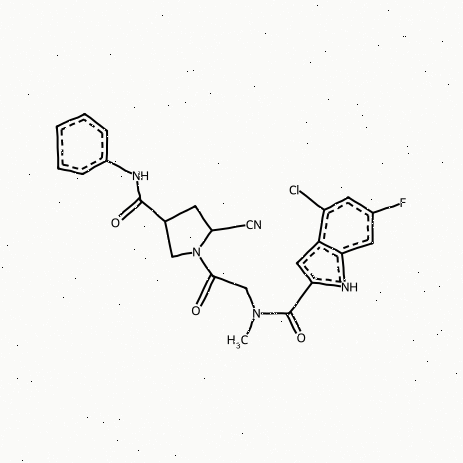 CN(CC(=O)N1CC(C(=O)Nc2ccccc2)CC1C#N)C(=O)c1cc2c(Cl)cc(F)cc2[nH]1